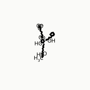 CCNC(=O)CCCC=CC[C@@H]1[C@@H](C=C[C@@H](O)CCc2ccccc2)[C@H](OC(=O)CCCCCO[N+](=O)[O-])C[C@@H]1O